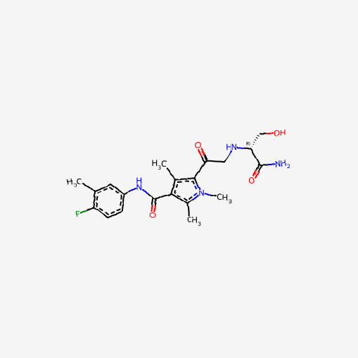 Cc1cc(NC(=O)c2c(C)c(C(=O)CN[C@H](CO)C(N)=O)n(C)c2C)ccc1F